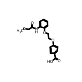 COCC(=O)Nc1ccccc1OCCOc1ccc(C(=O)O)cc1